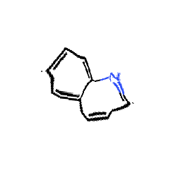 [c]1ccc2n[c]ccc2c1